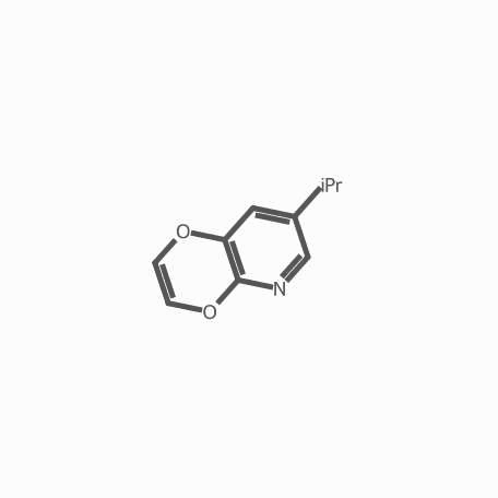 CC(C)c1cnc2c(c1)OC=CO2